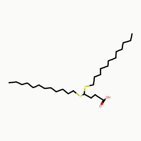 CCCCCCCCCCCCSC(CCC(=O)O)SCCCCCCCCCCCC